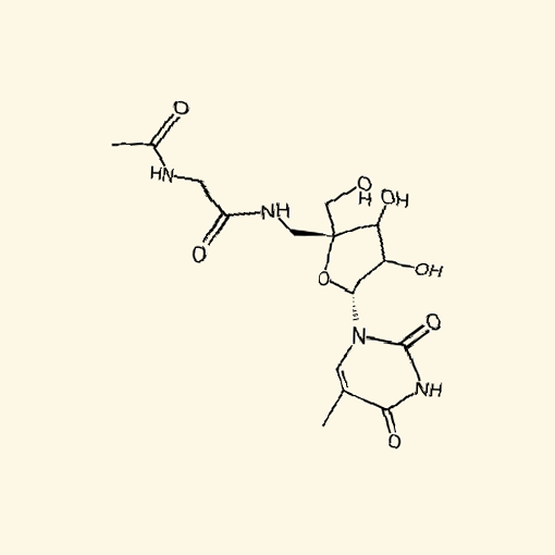 CC(=O)NCC(=O)NC[C@]1(CO)O[C@@H](n2cc(C)c(=O)[nH]c2=O)C(O)C1O